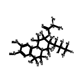 [2H]C([2H])([2H])C([2H])(C)C([2H])([2H])C1([2H])C([2H])([2H])N2C(c3cc(OC)c(OC)cc3C([2H])([2H])C2([2H])[2H])C([2H])([2H])C1([2H])OC(=O)[C@@H](N)C(C)C